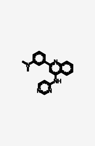 CN(C)c1cccc(-c2cc(Nc3ccncn3)c3ccccc3n2)c1